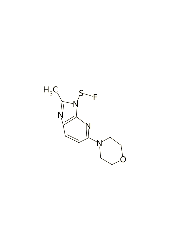 Cc1nc2ccc(N3CCOCC3)nc2n1SF